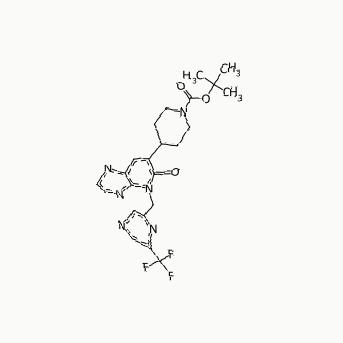 CC(C)(C)OC(=O)N1CCC(c2cc3nccnc3n(Cc3cncc(C(F)(F)F)n3)c2=O)CC1